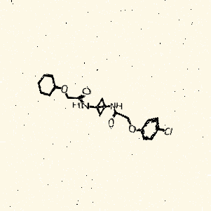 O=C(COc1ccc(Cl)cc1)NC12CC1(NC(=O)COC1CCCCC1)C2